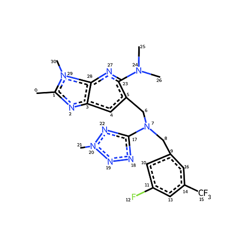 Cc1nc2cc(CN(Cc3cc(F)cc(C(F)(F)F)c3)c3nnn(C)n3)c(N(C)C)nc2n1C